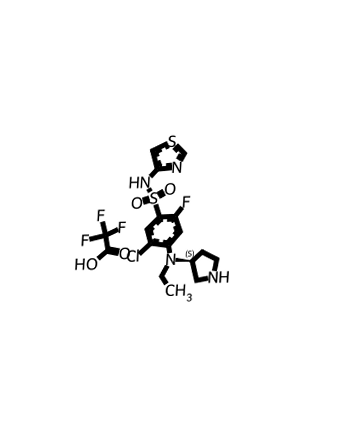 CCN(c1cc(F)c(S(=O)(=O)Nc2cscn2)cc1Cl)[C@H]1CCNC1.O=C(O)C(F)(F)F